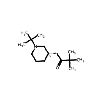 CC(C)(C)C(=O)C[C@@H]1CCCN(C(C)(C)C)C1